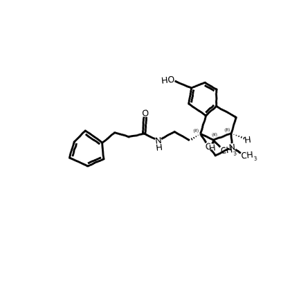 C[C@H]1[C@H]2Cc3ccc(O)cc3[C@]1(CCNC(=O)CCc1ccccc1)CCN2C